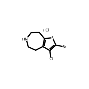 Cl.Clc1c(Br)sc2c1CCNCC2